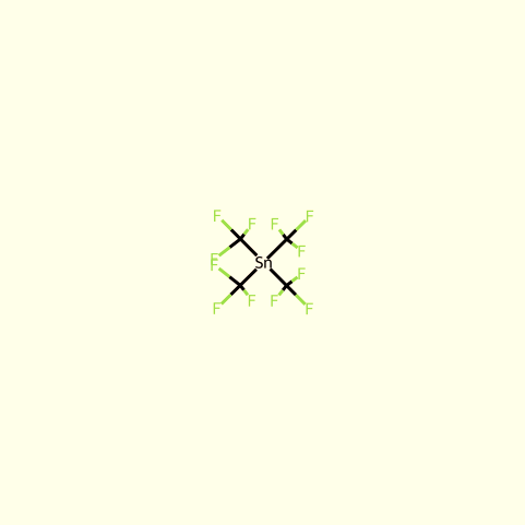 F[C](F)(F)[Sn]([C](F)(F)F)([C](F)(F)F)[C](F)(F)F